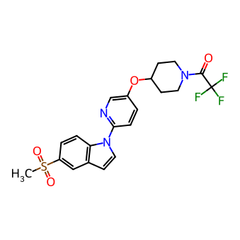 CS(=O)(=O)c1ccc2c(ccn2-c2ccc(OC3CCN(C(=O)C(F)(F)F)CC3)cn2)c1